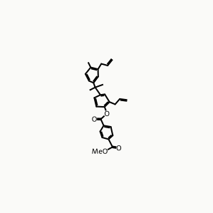 C=CCc1cc(C(C)(C)c2ccc(OC(=O)c3ccc(C(=O)OC)cc3)c(CC=C)c2)ccc1C